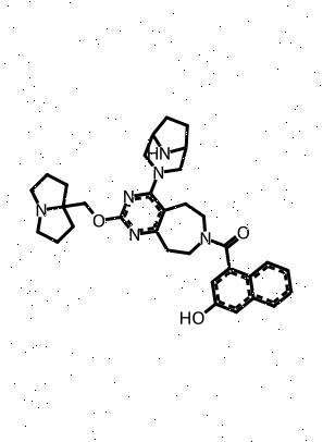 O=C(c1cc(O)cc2ccccc12)N1CCc2nc(OCC34CCCN3CCC4)nc(N3CC4CCC(C3)N4)c2CC1